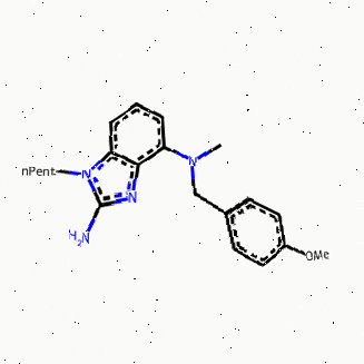 CCCCCn1c(N)nc2c(N(C)Cc3ccc(OC)cc3)cccc21